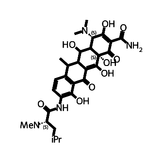 CN[C@@H](CC(C)C)C(=O)Nc1ccc2c(c1O)C(=O)C1=C(O)[C@]3(O)C(=O)C(C(N)=O)=C(O)[C@@H](N(C)C)C3C(O)C1C2C